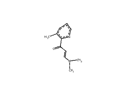 Cc1cccnc1C(=O)/C=C/N(C)C